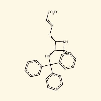 CCOC(=O)C=CS[C@H]1NC(=O)[C@H]1NC(c1ccccc1)(c1ccccc1)c1ccccc1